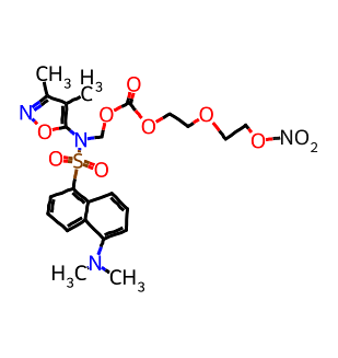 Cc1noc(N(COC(=O)OCCOCCO[N+](=O)[O-])S(=O)(=O)c2cccc3c(N(C)C)cccc23)c1C